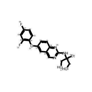 CCC(CO)(CO)Nc1ncc2cc(Oc3ccc(F)cc3F)ccc2n1